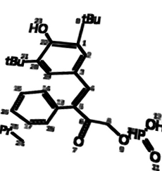 CC(C)(C)c1cc(/C=C(/C(=O)CO[PH](=O)O)c2ccccc2)cc(C(C)(C)C)c1O.CCCC